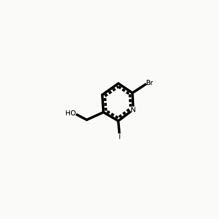 OCc1ccc(Br)nc1I